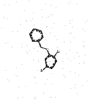 [Li][c]1ccc(Br)cc1OCc1ccccc1